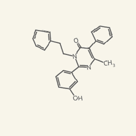 Cc1nc(-c2cccc(O)c2)n(CCc2ccccc2)c(=O)c1-c1ccccc1